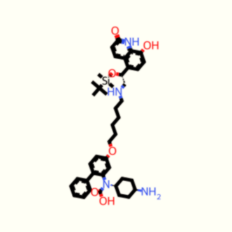 CC(C)(C)[Si](C)(C)O[C@@H](CNCCCCCCOc1ccc(-c2ccccc2)c(N(C(=O)O)[C@H]2CC[C@H](N)CC2)c1)c1ccc(O)c2[nH]c(=O)ccc12